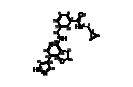 O=C(NCC1CC1)c1cccc(CNc2ncc(-c3cn[nH]c3)c3c2CCO3)c1